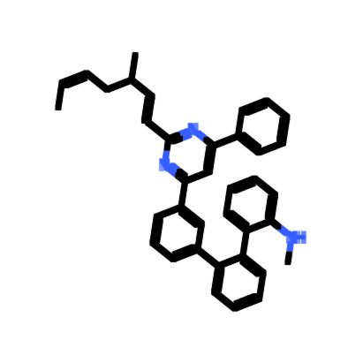 C/C=C\CC(C)/C=C/c1nc(-c2ccccc2)cc(-c2cccc(-c3ccccc3-c3ccccc3NC)c2)n1